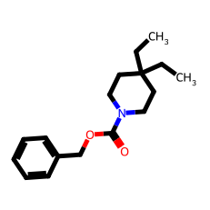 CCC1(CC)CCN(C(=O)OCc2ccccc2)CC1